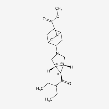 CCN(CC)C(=O)[C@H]1[C@@H]2CN(C3CC4CCC3CN4C(=O)OC)C[C@@H]21